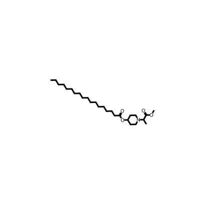 CCCCCCCCCCCCCCCCCC(=O)OC1CCN(C(C)C(=O)OC)CC1